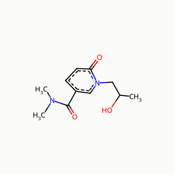 CC(O)Cn1cc(C(=O)N(C)C)ccc1=O